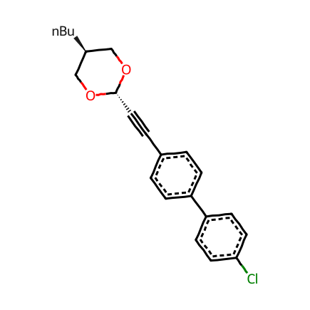 CCCC[C@H]1CO[C@H](C#Cc2ccc(-c3ccc(Cl)cc3)cc2)OC1